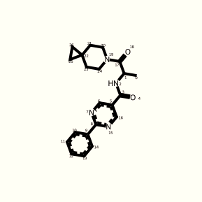 CC(NC(=O)c1cnc(-c2ccccc2)nc1)C(=O)N1CCC2(CC1)CC2